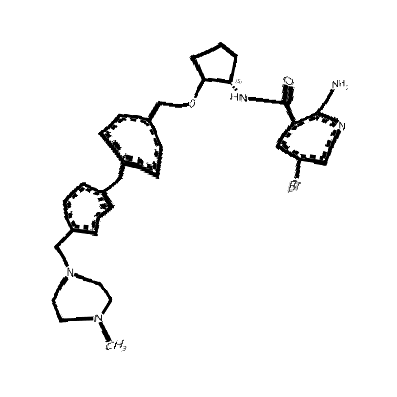 CN1CCN(Cc2ccc(-c3ccc(COC4CCC[C@@H]4NC(=O)c4cc(Br)cnc4N)cc3)cc2)CC1